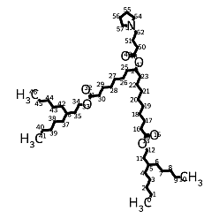 CCCCCC(CCCCC)CCOC(=O)CCCCCCCCC(CCCCCCC(=O)OCCC(CCCCC)CCCCC)OC(=O)CCCN1CCCC1